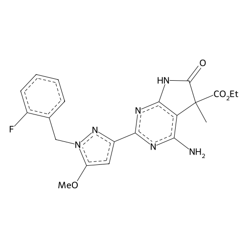 CCOC(=O)C1(C)C(=O)Nc2nc(-c3cc(OC)n(Cc4ccccc4F)n3)nc(N)c21